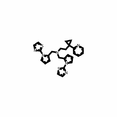 c1ccc(C2(CCN(Cc3cccn3-c3nccs3)Cc3cccn3-c3nccs3)CC2)nc1